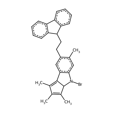 CC1=C(C)C2C(=C1C)c1cc(CCC3c4ccccc4-c4ccccc43)c(C)cc1N2Br